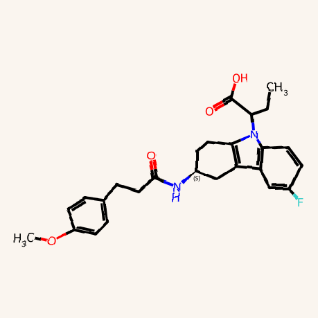 CCC(C(=O)O)n1c2c(c3cc(F)ccc31)C[C@@H](NC(=O)CCc1ccc(OC)cc1)CC2